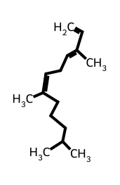 C=CC(C)=CCC=C(C)CCCC(C)C